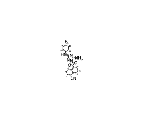 N#Cc1cccc2c(S(=O)(=O)n3nc(Nc4ccc(F)cc4)nc3N)cccc12